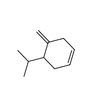 C=C1CC=CCC1C(C)C